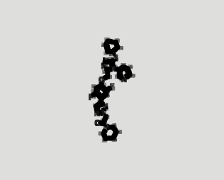 O=C(Cn1ncc(-c2cc(F)c(OCc3nnc(S[C@H]4C=CCCC4)n3-c3cccnc3)cc2F)n1)N1CCCCC1